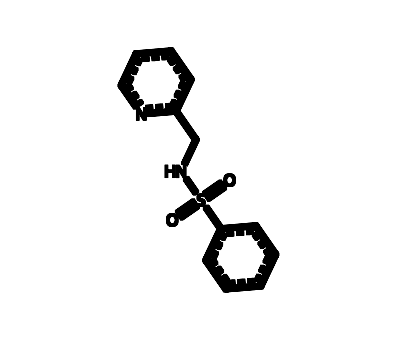 O=S(=O)(NCc1ccccn1)c1ccccc1